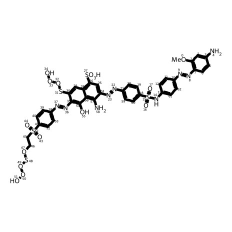 COc1cc(N)ccc1/N=N/c1ccc(NS(=O)(=O)c2ccc(/N=N/c3cc(S(=O)(=O)O)c4cc(SOOO)c(/N=N/c5ccc(S(=O)(=O)CCOSOOO)cc5)c(O)c4c3N)cc2)cc1